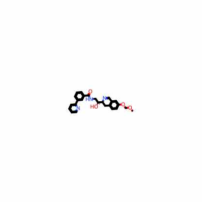 COCOc1ccc2c(c1)C=NC([C@H](O)CNC(=O)c1cccc(-c3ccccn3)c1)C2